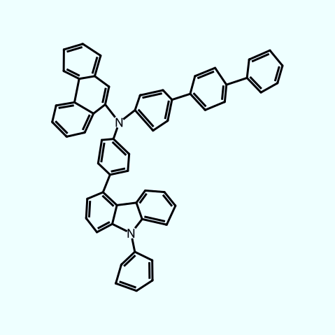 c1ccc(-c2ccc(-c3ccc(N(c4ccc(-c5cccc6c5c5ccccc5n6-c5ccccc5)cc4)c4cc5ccccc5c5ccccc45)cc3)cc2)cc1